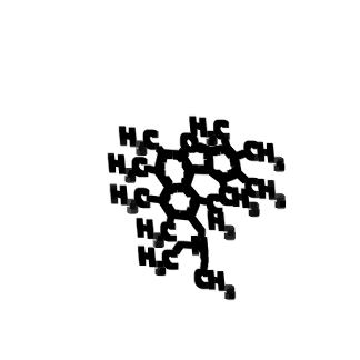 CCN(CC)Cc1c(C)c(C)c2c(C)c(C)c3oc4c(C)c(C)c(C)c(C)c4c3c2c1C